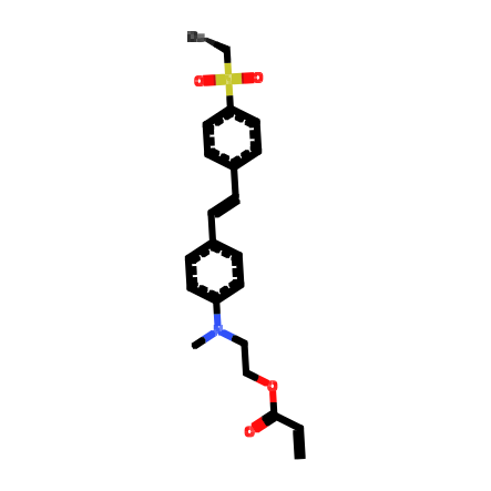 C=CC(=O)OCCN(C)c1ccc(C=Cc2ccc(S(=O)(=O)C[C@H](C)CC)cc2)cc1